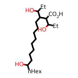 CCCCCCC(O)CCCCCCCCC(C(O)CC)C(C(=O)O)C(O)CC